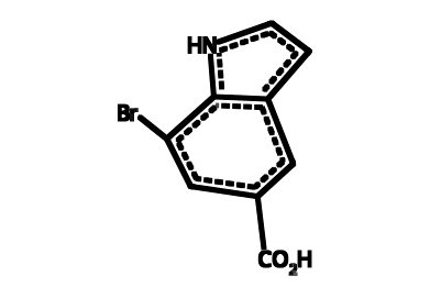 O=C(O)c1cc(Br)c2[nH]ccc2c1